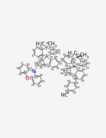 CC1(C)c2ccccc2C2(c3ccc(N4c5ccccc5Oc5ccccc54)cc3-c3ccc(-c4ccc5c(c4)C4(c6ccccc6-c6c(-c7ccc(C#N)cc7)cccc64)c4ccccc4C5(C)C)cc32)c2ccccc21